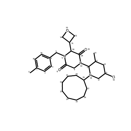 Cc1ccc(CN2C(=O)CN(C3C(C)CC(Cl)CN3C3CCCCCCCC3)C(=O)C2C2COC2)cc1